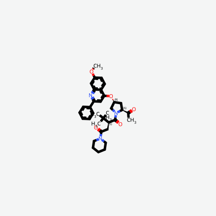 COc1ccc2c(O[C@@H]3C[C@@H](C(C)=O)N(C(=O)[C@@H](CC(=O)N4CCCCC4)C(C)(C)C)C3)cc(-c3ccccc3)nc2c1